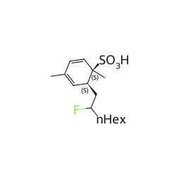 CCCCCCC(F)C[C@H]1C=C(C)C=C[C@@]1(C)S(=O)(=O)O